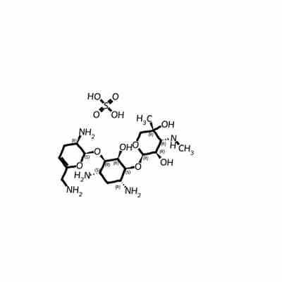 CN[C@@H]1[C@@H](O)[C@@H](O[C@@H]2[C@H](O)[C@H](O[C@H]3OC(CN)=CC[C@H]3N)[C@@H](N)C[C@H]2N)OC[C@]1(C)O.O=S(=O)(O)O